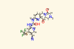 CN1CCN(Cc2ccc(N(C)C(O)Nc3cc(SC(F)(F)F)c(C#N)cn3)nc2C=O)C(=O)C1